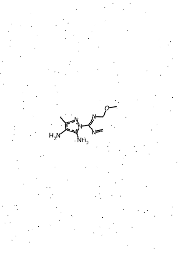 C=N/C(=N\COC)n1nc(C)c(N)c1N